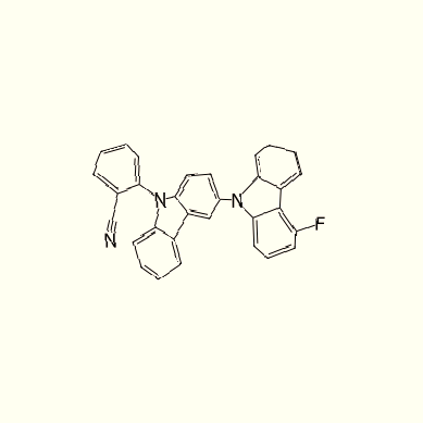 N#Cc1ccccc1-n1c2ccccc2c2cc(-n3c4c(c5c(F)cccc53)=CCCC=4)ccc21